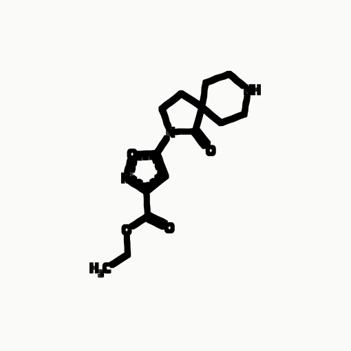 CCOC(=O)c1cc(N2CCC3(CCNCC3)C2=O)on1